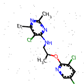 CCc1nc(C)nc(NCC(C)Oc2ncc(Cl)cc2Cl)c1Cl